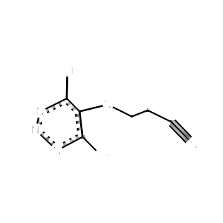 N#CCCNc1c(S)nnnc1S